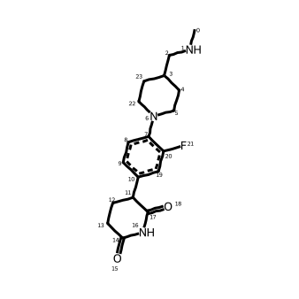 CNCC1CCN(c2ccc(C3CCC(=O)NC3=O)cc2F)CC1